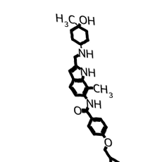 Cc1c(NC(=O)c2ccc(OCC3CC3)cc2)ccc2cc(CN[C@H]3CC[C@](C)(O)CC3)[nH]c12